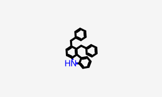 c1ccc(Cc2ccc3[nH]c4ccccc4c3c2Cc2ccccc2)cc1